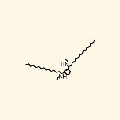 CCCCCCCCCCCCCCC(NCC)c1cccc(C(CCCCCCCCCCCCCC)NCC)c1